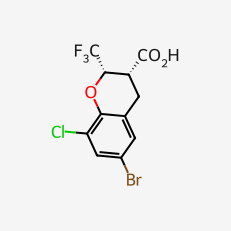 O=C(O)[C@@H]1Cc2cc(Br)cc(Cl)c2O[C@@H]1C(F)(F)F